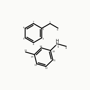 CCc1ccccc1.CNc1cccc(C)c1